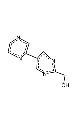 OCc1ncc(-c2cnccn2)cn1